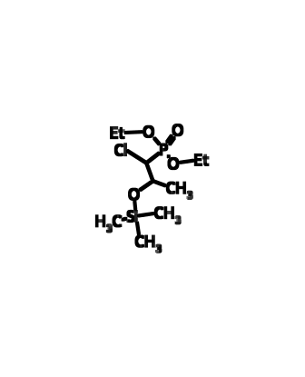 CCOP(=O)(OCC)C(Cl)C(C)O[Si](C)(C)C